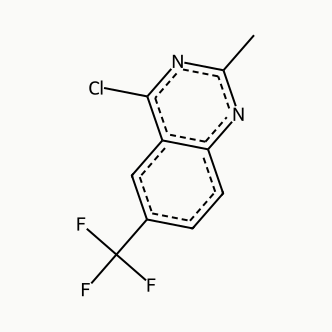 Cc1nc(Cl)c2cc(C(F)(F)F)ccc2n1